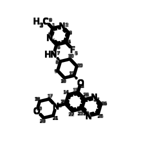 Cc1ncc(F)c(N[C@H]2CC[C@@H](Oc3cc(N4CCOCC4)cc4nccnc34)CC2)n1